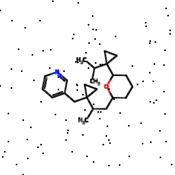 CC(CC1CCCC(C2(C(C)C)CC2)O1)C1(Cc2cccnc2)CC1